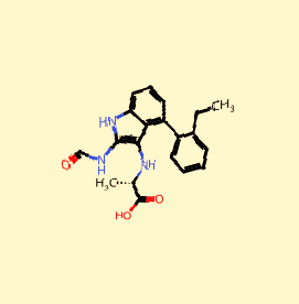 CCc1ccccc1-c1cccc2[nH]c(NC=O)c(N[C@@H](C)C(=O)O)c12